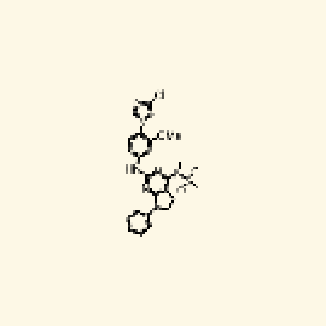 COc1cc(Nc2nc3c(c(N(C)S(C)(=O)=O)n2)CCC3c2ccccc2)ccc1-n1cnc(Cl)c1